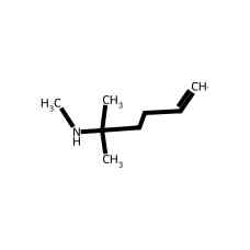 [CH]=CCCC(C)(C)NC